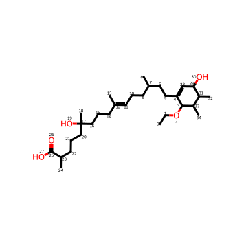 CCOC1C(CCC(C)CC/C=C(\C)CCCC(C)(O)CCCC(C)C(=O)O)=CC(O)C(C)C1C